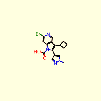 Cn1cc(-c2c(C3CCC3)c3cnc(Br)cc3n2C(=O)O)cn1